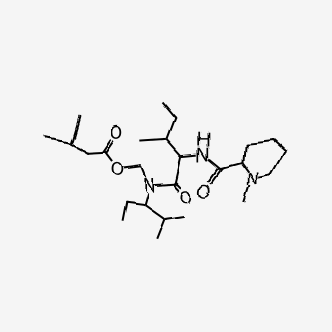 CCC(C)C(NC(=O)C1CCCCN1C)C(=O)N(COC(=O)CC(C)C)C(CC)C(C)C